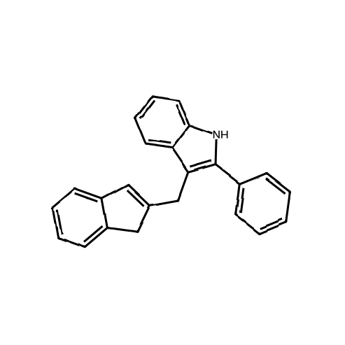 C1=C(Cc2c(-c3ccccc3)[nH]c3ccccc23)Cc2ccccc21